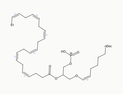 CC/C=C\C/C=C\C/C=C\C/C=C\C/C=C\C/C=C\CCC(=O)OC(CO/C=C\CCCCCCCCCCCCCC)CO[PH](=O)O